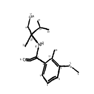 CSc1cccc(C(=O)NC(C)(CO)C(C)C)c1C